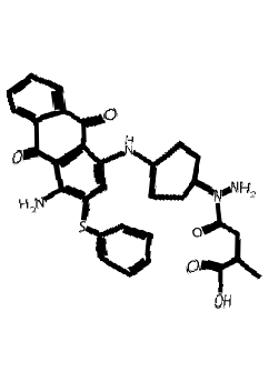 CC(CC(=O)N(N)C1CCC(Nc2cc(Sc3ccccc3)c(N)c3c2C(=O)c2ccccc2C3=O)CC1)C(=O)O